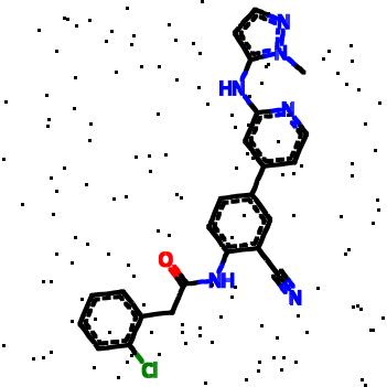 Cn1nccc1Nc1cc(-c2ccc(NC(=O)Cc3ccccc3Cl)c(C#N)c2)ccn1